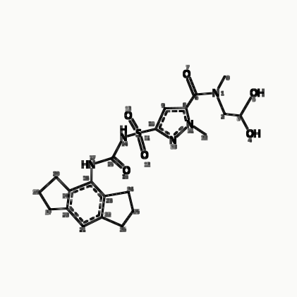 CN(CC(O)O)C(=O)c1cc(S(=O)(=O)NC(=O)Nc2c3c(cc4c2CCC4)CCC3)nn1C